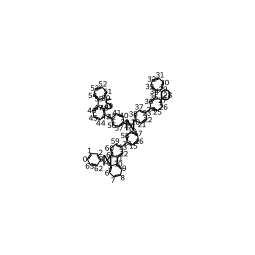 c1ccc(-n2c3ccccc3c3cc(-c4cccc(N(c5ccc(-c6ccc7oc8ccccc8c7c6)cc5)c5ccc(-c6cccc7c6sc6ccccc67)cc5)c4)ccc32)cc1